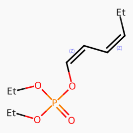 CC/C=C\C=C/OP(=O)(OCC)OCC